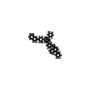 c1ccc(-c2nc(-c3ccc(-c4ccc5ccccc5c4)cc3)nc(-c3ccc4c(c3)Oc3ccc(-c5ccccc5)c5cccc-4c35)n2)cc1